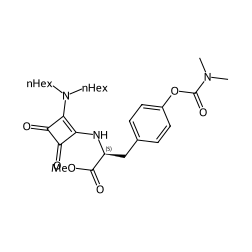 CCCCCCN(CCCCCC)c1c(N[C@@H](Cc2ccc(OC(=O)N(C)C)cc2)C(=O)OC)c(=O)c1=O